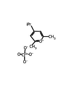 Cc1cc(C(C)C)cc(C)[o+]1.[O-][Cl+3]([O-])([O-])[O-]